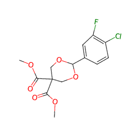 COC(=O)C1(C(=O)OC)COC(c2ccc(Cl)c(F)c2)OC1